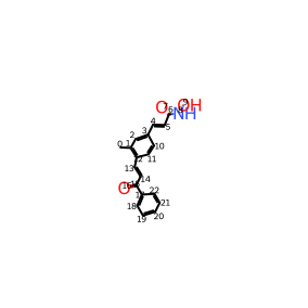 Cc1cc(C=CC(=O)NO)ccc1C=CC(=O)c1ccccc1